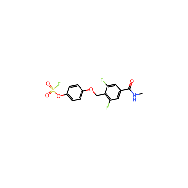 CNC(=O)c1cc(F)c(COc2ccc(OS(=O)(=O)F)cc2)c(F)c1